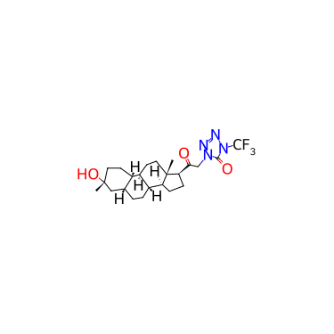 C[C@@]1(O)CC[C@H]2[C@H](CC[C@@H]3[C@@H]2CC[C@]2(C)[C@@H](C(=O)Cn4nnn(C(F)(F)F)c4=O)CC[C@@H]32)C1